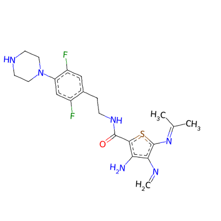 C=Nc1c(N=C(C)C)sc(C(=O)NCCc2cc(F)c(N3CCNCC3)cc2F)c1N